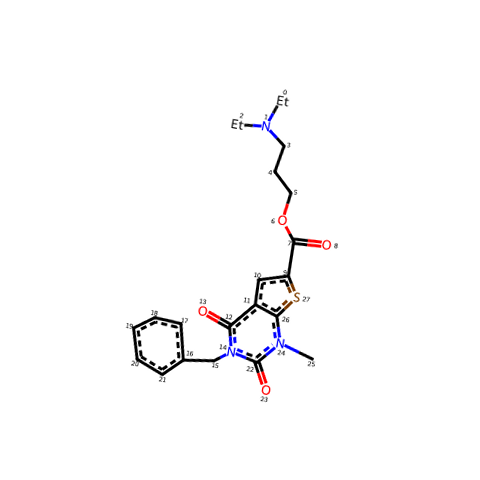 CCN(CC)CCCOC(=O)c1cc2c(=O)n(Cc3ccccc3)c(=O)n(C)c2s1